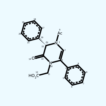 CC(=O)N1C=C(c2ccccc2)N(CC(=O)O)C(=O)[C@@H]1c1ccccc1